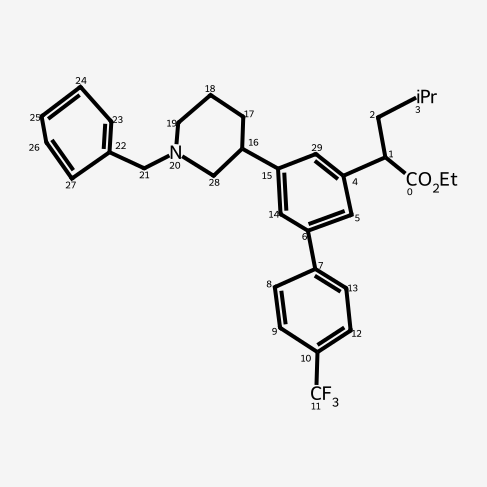 CCOC(=O)C(CC(C)C)c1cc(-c2ccc(C(F)(F)F)cc2)cc(C2CCCN(Cc3ccccc3)C2)c1